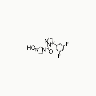 O=C(N1CC[C@@H](O)C1)N1N=CC[C@H]1c1cc(F)cc(F)c1